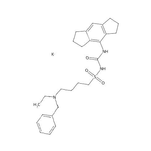 CCN(CCCCS(=O)(=O)NC(=O)Nc1c2c(cc3c1CCC3)CCC2)Cc1ccccc1.[K]